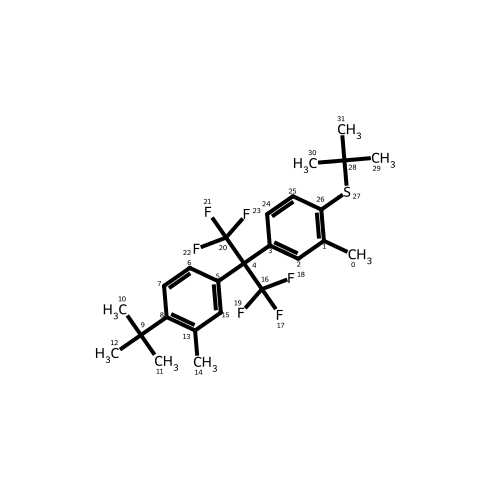 Cc1cc(C(c2ccc(C(C)(C)C)c(C)c2)(C(F)(F)F)C(F)(F)F)ccc1SC(C)(C)C